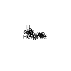 O=C1CN(c2c(O)cc3nnc(C4=CCN(S(=O)(=O)C5CC5)C4)cc3c2F)S(=O)(=O)N1